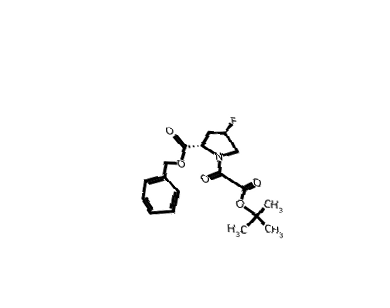 CC(C)(C)OC(=O)C(=O)N1C[C@H](F)C[C@H]1C(=O)OCc1ccccc1